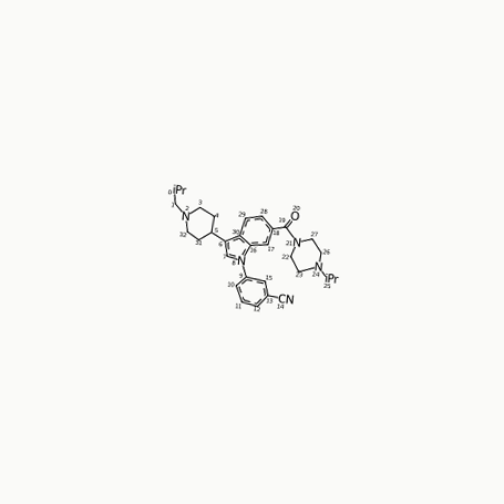 CC(C)CN1CCC(c2cn(-c3cccc(C#N)c3)c3cc(C(=O)N4CCN(C(C)C)CC4)ccc23)CC1